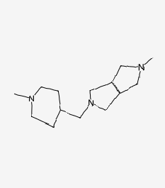 CN1CCC(CN2CC3CN(C)CC3C2)CC1